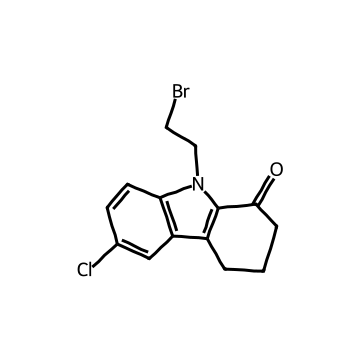 O=C1CCCc2c1n(CCBr)c1ccc(Cl)cc21